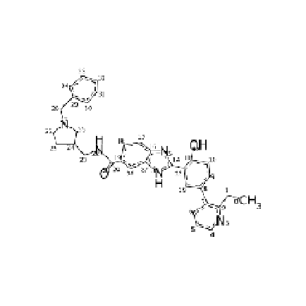 CCc1ncccc1-c1ccc(O)c(-c2nc3ccc(C(=O)NCC4CCN(Cc5ccccc5)C4)cc3[nH]2)c1